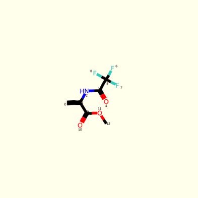 C=C(NC(=O)C(F)(F)F)C(=O)OC